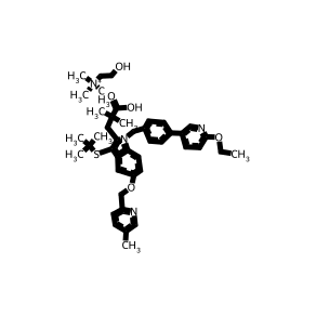 CCOc1ccc(-c2ccc(Cn3c(CC(C)(C)C(=O)O)c(SC(C)(C)C)c4cc(OCc5ccc(C)cn5)ccc43)cc2)cn1.C[N+](C)(C)CCO